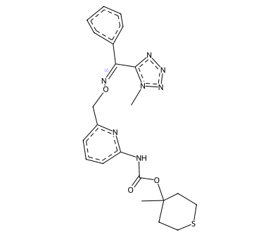 Cn1nnnc1/C(=N\OCc1cccc(NC(=O)OC2(C)CCSCC2)n1)c1ccccc1